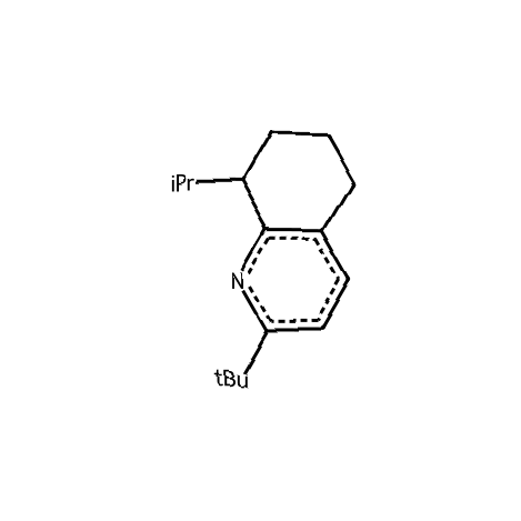 CC(C)C1CCCc2ccc(C(C)(C)C)nc21